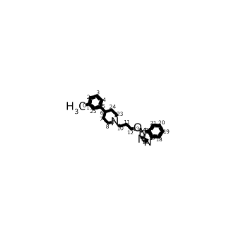 Cc1cccc(C2CCN(CCCOn3nnc4ccccc43)CC2)c1